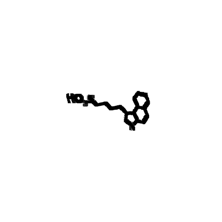 O=S(=O)(O)CCCCC1C=Nc2ccc3ccccc3c21